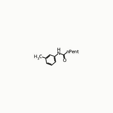 CCCCCC(=O)Nc1cccc(C)c1